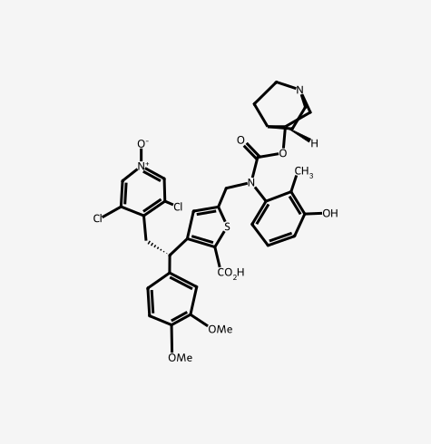 COc1ccc([C@H](Cc2c(Cl)c[n+]([O-])cc2Cl)c2cc(CN(C(=O)O[C@H]3CN4CCC3CC4)c3cccc(O)c3C)sc2C(=O)O)cc1OC